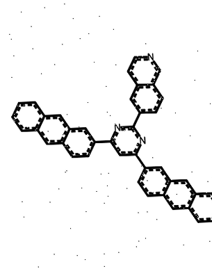 c1ccc2cc3cc(-c4cc(-c5ccc6cc7ccccc7cc6c5)nc(-c5ccc6cnccc6c5)n4)ccc3cc2c1